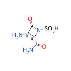 NC(=O)[C@@H]1[C@H](N)C(=O)N1S(=O)(=O)O